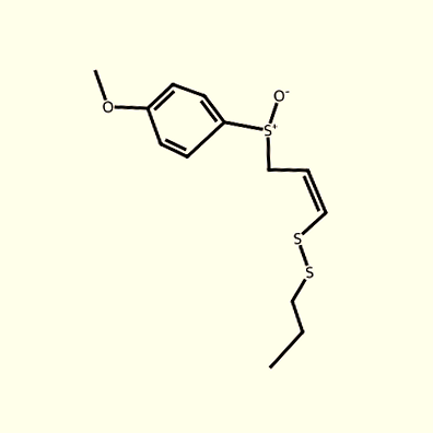 CCCSS/C=C\C[S+]([O-])c1ccc(OC)cc1